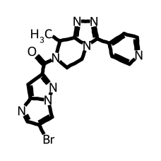 CC1c2nnc(-c3ccncc3)n2CCN1C(=O)c1cc2ncc(Br)cn2n1